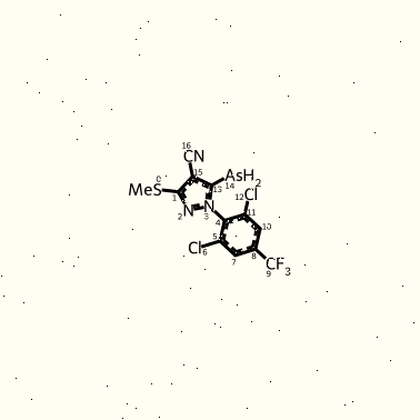 CSc1nn(-c2c(Cl)cc(C(F)(F)F)cc2Cl)c([AsH2])c1C#N